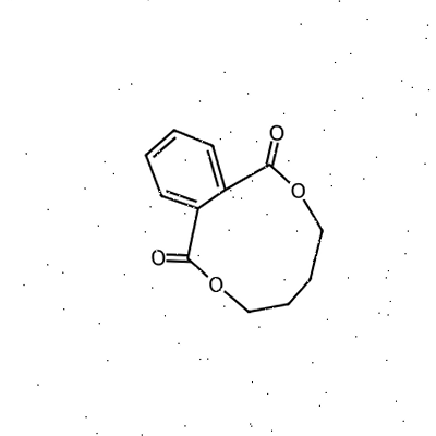 O=C1OCCCCOC(=O)c2ccccc21